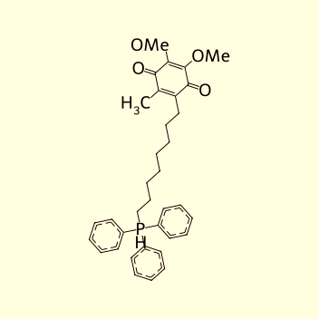 COC1=C(OC)C(=O)C(CCCCCCCC[PH](c2ccccc2)(c2ccccc2)c2ccccc2)=C(C)C1=O